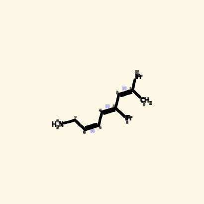 C\C(=C/C(=C/C=C\CN)C(C)C)C(C)C